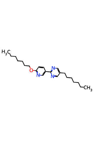 CCCCCCCOc1ccc(-c2ncc(CCCCCCC)cn2)cn1